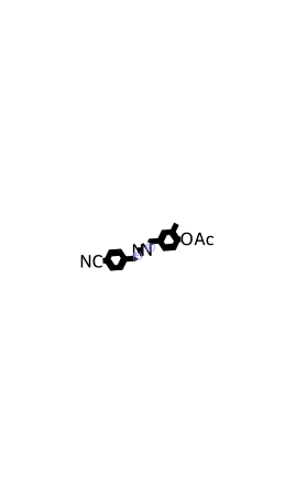 CC(=O)Oc1ccc(/C=N/N=C/c2ccc(C#N)cc2)cc1C